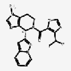 O=C(c1ocnc1C(F)I)N1CCc2c(ncn2P)[C@H]1c1cc2ccccn2n1